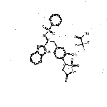 Cc1cc(C[C@H](NS(=O)(=O)c2ccccc2)c2nc3ccccc3[nH]2)ccc1[C@@H]1CC(=O)NS1(=O)=O.O=C(O)C(F)(F)F